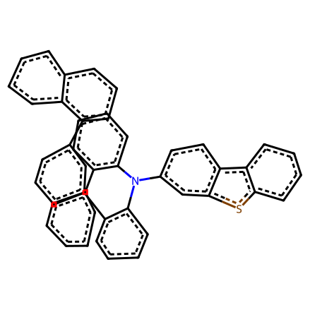 c1ccc(-c2ccccc2N(c2ccc3c(c2)sc2ccccc23)c2ccccc2-c2cccc(-c3cccc4ccccc34)c2)cc1